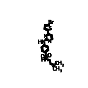 CN(C)CCNS(=O)(=O)c1ccc(Nc2nccc(-c3ccc(Br)s3)n2)cc1